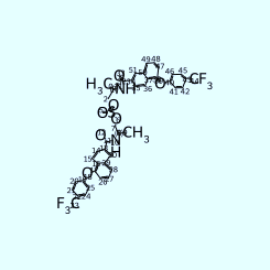 C[C@H](COS(=O)OC[C@@H](C)NC(=O)c1ccc2c(Oc3ccc(C(F)(F)F)cc3)cccc2c1)NC(=O)c1ccc2c(Oc3ccc(C(F)(F)F)cc3)cccc2c1